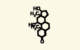 C[C@]12CCC(=O)C=C1CCC1C2[C@@H](O)C[C@@]2(C)C1CC[C@@H]2O